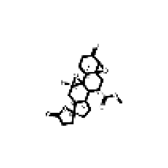 COC(=O)[C@H]1CC23OC2C(=O)CC[C@]3(C)C23O[C@H]2C[C@@]2(C)C(CC[C@]24CCC(=O)O4)C13